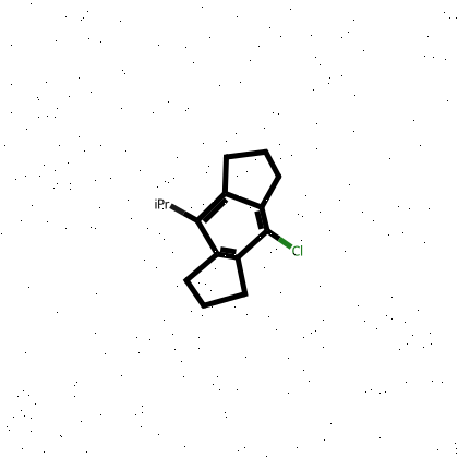 CC(C)c1c2c(c(Cl)c3c1CCC3)CCC2